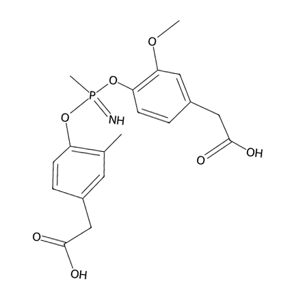 COc1cc(CC(=O)O)ccc1OP(C)(=N)Oc1ccc(CC(=O)O)cc1C